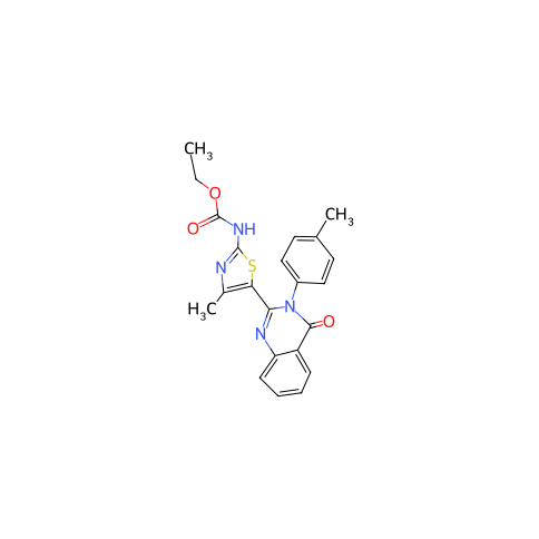 CCOC(=O)Nc1nc(C)c(-c2nc3ccccc3c(=O)n2-c2ccc(C)cc2)s1